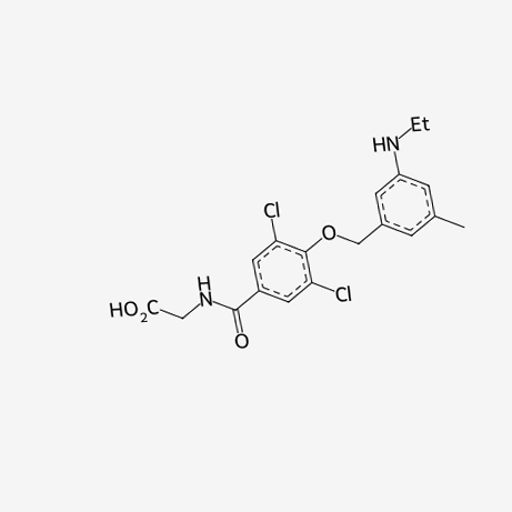 CCNc1cc(C)cc(COc2c(Cl)cc(C(=O)NCC(=O)O)cc2Cl)c1